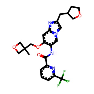 CC1(COc2cc3nc(CC4CCOC4)cn3cc2NC(=O)c2cccc(C(F)(F)F)n2)COC1